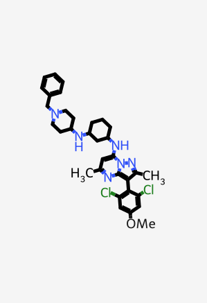 COc1cc(Cl)c(-c2c(C)nn3c(NC4CCCC(NC5CCN(Cc6ccccc6)CC5)C4)cc(C)nc23)c(Cl)c1